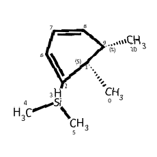 C[C@@H]1C([SiH](C)C)=CC=C[C@@H]1C